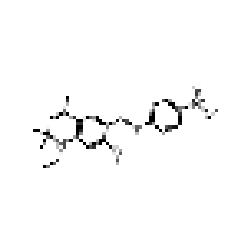 CCN1c2cc(OC)c(/N=N/c3ccc([N+](=O)[O-])cc3)cc2C(C)=CC1(C)C